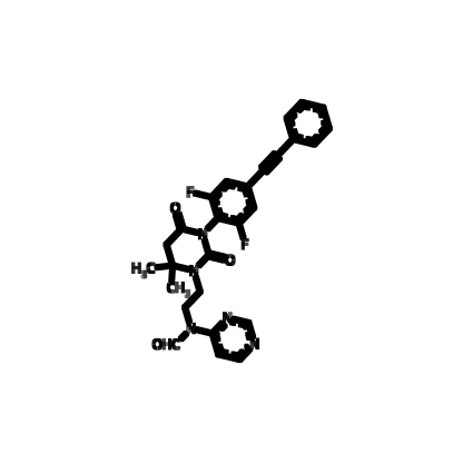 CC1(C)CC(=O)N(c2c(F)cc(C#Cc3ccccc3)cc2F)C(=O)N1CCN(C=O)c1ccncn1